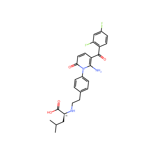 CC(C)C[C@H](NCCc1ccc(-n2c(N)c(C(=O)c3ccc(F)cc3F)ccc2=O)cc1)C(=O)O